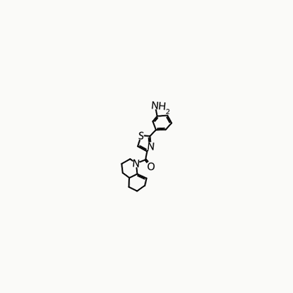 Nc1cccc(-c2nc(C(=O)N3CCCC4CCCC=C43)cs2)c1